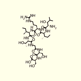 CC[C@H](C)[C@H](NC(=O)[C@@H](N)[C@H](O)C(C)C)C(=O)N[C@H](CCCNC(=N)N)C(=O)N[C@H](C(=O)N[C@H](C(=O)NCC(=O)N[C@@H](CO)C(=O)N[C@@H](CO)C(=O)O)[C@H](C)O)[C@@H](C)CC